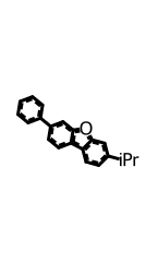 CC(C)c1ccc2c(c1)oc1cc(-c3ccccc3)ccc12